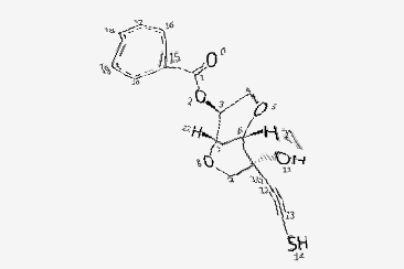 O=C(O[C@H]1CO[C@H]2[C@@H]1OC[C@]2(O)C#CS)c1ccccc1